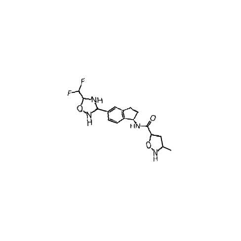 CC1CC(C(=O)N[C@@H]2CCc3cc(C4NOC(C(F)F)N4)ccc32)ON1